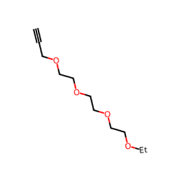 C#CCOCCOCCOCCOCC